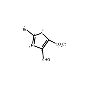 CCOC(=O)c1sc(Br)nc1C=O